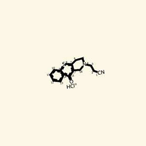 Cl.N#CCCN1CCc2sc3ccccc3c(=O)c2C1